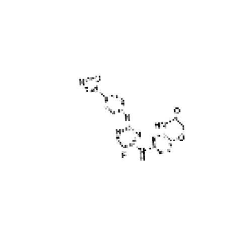 O=C1COc2ccc(Nc3nc(Nc4ccc(-c5cnco5)cc4)ncc3F)cc2N1